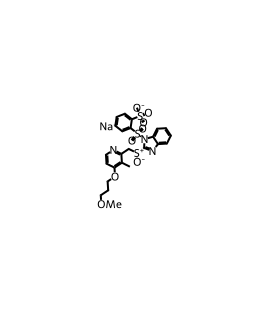 COCCCOc1ccnc(C[S+]([O-])c2nc3ccccc3n2S(=O)(=O)c2ccccc2S(=O)(=O)[O-])c1C.[Na+]